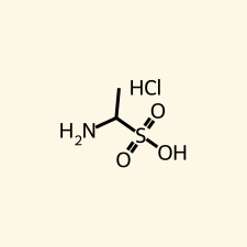 CC(N)S(=O)(=O)O.Cl